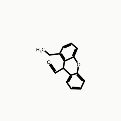 CCc1cccc2c1C(C=O)c1ccccc1O2